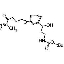 [CH3][SnH]([CH3])[C](=O)CCCOc1cccc(C(O)CCNC(=O)OC(C)(C)C)c1